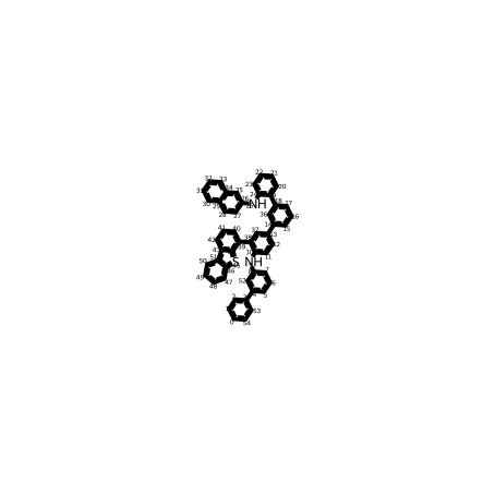 c1ccc(-c2cccc(Nc3ccc(-c4cccc(-c5ccccc5Nc5ccc6ccccc6c5)c4)cc3-c3cccc4c3sc3ccccc34)c2)cc1